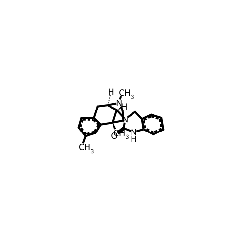 Cc1ccc2c(c1)[C@@]1(C)CCN(C)[C@H](C2)[C@H]1N1Cc2ccccc2NC1=O